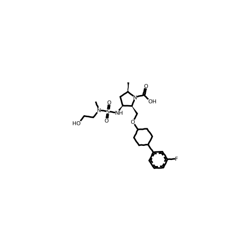 C[C@@H]1C[C@H](NS(=O)(=O)N(C)CCO)[C@H](COC2CCC(c3cccc(F)c3)CC2)N1C(=O)O